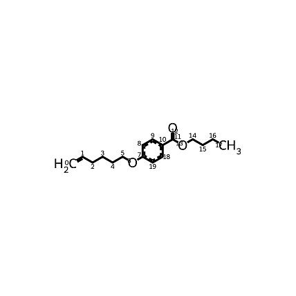 C=CCCCCOc1ccc(C(=O)OCCCC)cc1